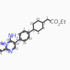 CCOC(=O)CC1CCC(c2ccc(-c3cnc4ccnn4c3N)cc2)CC1